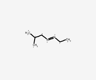 CCN=NCC(C)C